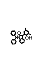 Cc1cc(C)c(O)c(C2C(=O)N(C(c3ccccc3)c3ccccc3)c3ccccc32)c1